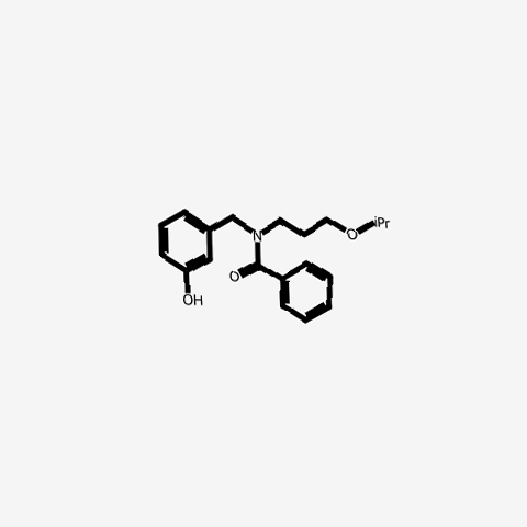 CC(C)OCCCN(Cc1cccc(O)c1)C(=O)c1ccccc1